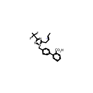 C/C=C/Cc1nc(C(C)(F)F)nn1Cc1ccc(-c2ccccc2C(=O)O)cc1